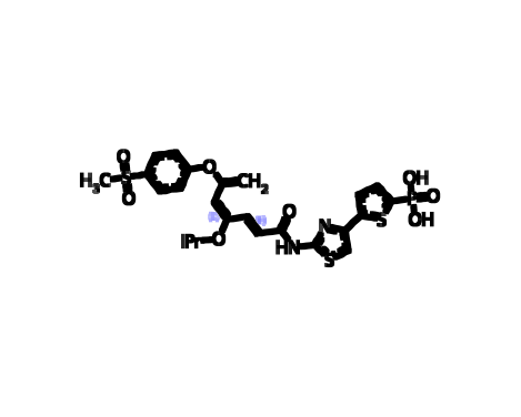 C=C(/C=C(\C=C\C(=O)Nc1nc(-c2ccc(P(=O)(O)O)s2)cs1)OC(C)C)Oc1ccc(S(C)(=O)=O)cc1